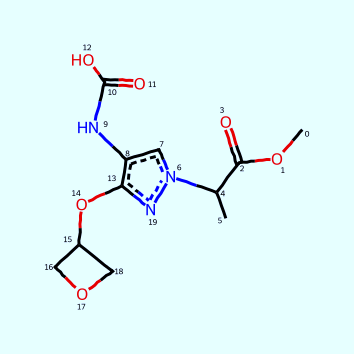 COC(=O)C(C)n1cc(NC(=O)O)c(OC2COC2)n1